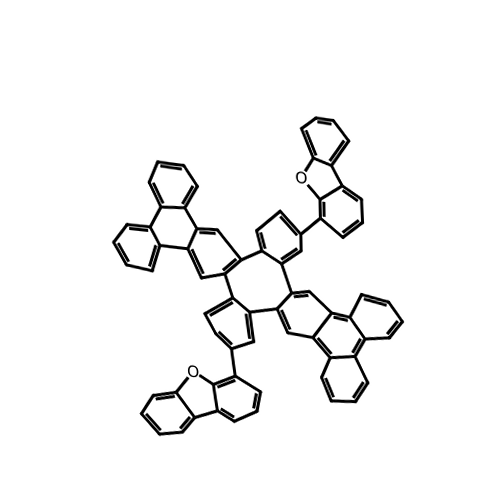 c1ccc2c(c1)oc1c(-c3ccc4c(c3)-c3cc5c6ccccc6c6ccccc6c5cc3-c3cc(-c5cccc6c5oc5ccccc56)ccc3-c3cc5c6ccccc6c6ccccc6c5cc3-4)cccc12